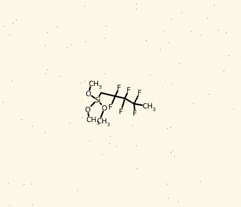 CO[Si](CC(F)(F)C(F)(F)C(C)(F)F)(OC)OC